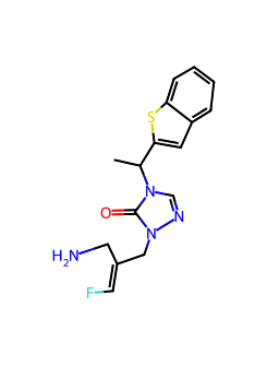 CC(c1cc2ccccc2s1)n1cnn(C/C(=C/F)CN)c1=O